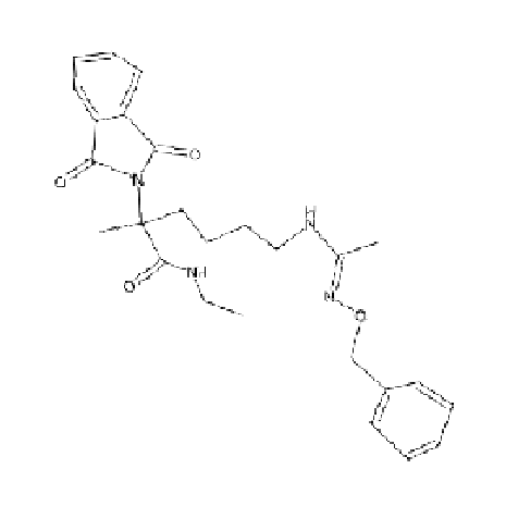 CCNC(=O)C(C)(CCCCNC(C)=NOCc1ccccc1)N1C(=O)c2ccccc2C1=O